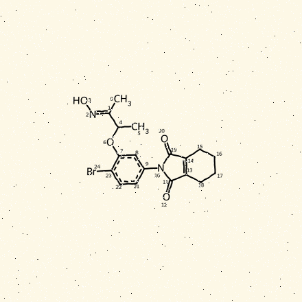 CC(=NO)C(C)Oc1cc(N2C(=O)C3=C(CCCC3)C2=O)ccc1Br